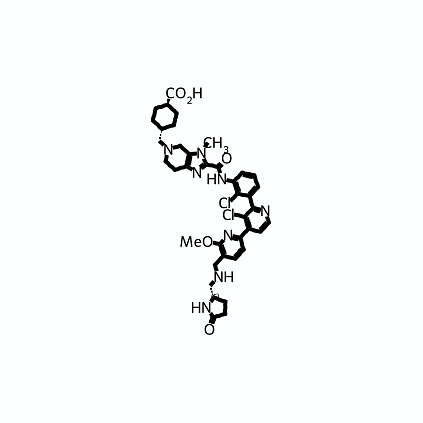 COc1nc(-c2ccnc(-c3cccc(NC(=O)c4nc5c(n4C)CN(C[C@H]4CC[C@H](C(=O)O)CC4)CC5)c3Cl)c2Cl)ccc1CNC[C@@H]1CCC(=O)N1